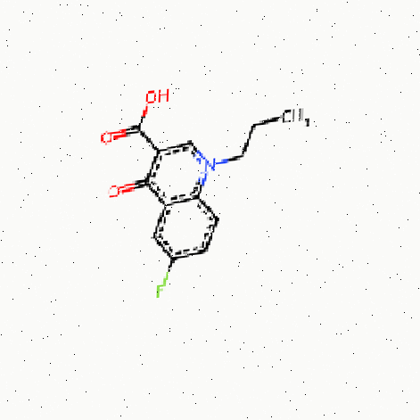 CCCn1cc(C(=O)O)c(=O)c2cc(F)ccc21